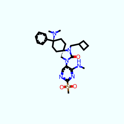 CNc1nc(S(C)(=O)=O)ncc1N1C[C@]2(CC[C@](c3ccccc3)(N(C)C)CC2)N(CC2CCC2)C1=O